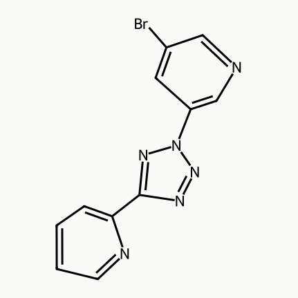 Brc1cncc(-n2nnc(-c3ccccn3)n2)c1